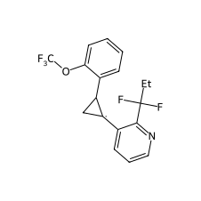 CCC(F)(F)c1ncccc1[C]1CC1c1ccccc1OC(F)(F)F